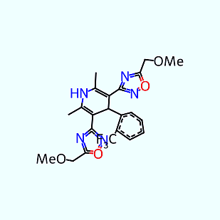 COCc1nc(C2=C(C)NC(C)=C(c3noc(COC)n3)C2c2ccccc2C(F)(F)F)no1